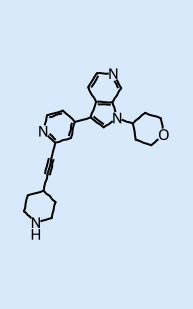 C(#CC1CCNCC1)c1cc(-c2cn(C3CCOCC3)c3cnccc23)ccn1